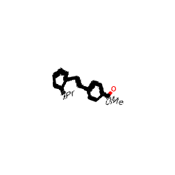 COC(=O)c1ccc(/C=C/c2ccccc2C(C)C)cc1